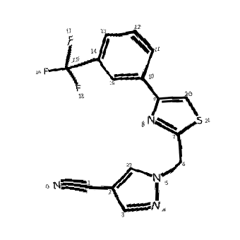 N#Cc1cnn(Cc2nc(-c3cccc(C(F)(F)F)c3)cs2)c1